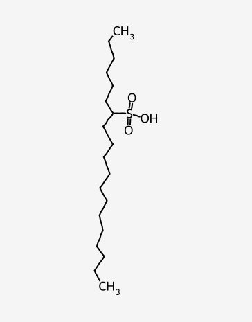 CCCCCCCCCCCCC(CCCCCC)S(=O)(=O)O